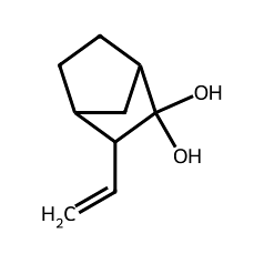 C=CC1C2CCC(C2)C1(O)O